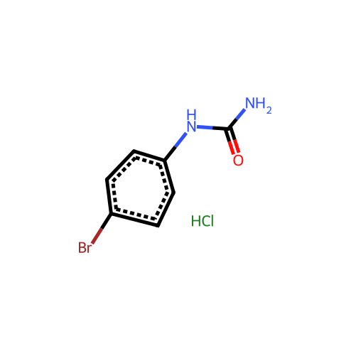 Cl.NC(=O)Nc1ccc(Br)cc1